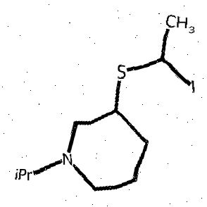 CC(I)SC1CCCN(C(C)C)C1